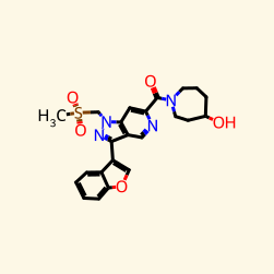 CS(=O)(=O)Cn1nc(-c2coc3ccccc23)c2cnc(C(=O)N3CCCC(O)CC3)cc21